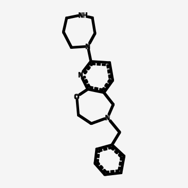 c1ccc(CN2CCOc3nc(N4CCCNCC4)ccc3C2)cc1